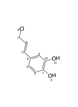 Oc1ccc(C=CCCl)cc1O